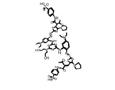 CCN(CC)c1ccc(/N=N/c2nc(N3CCCCC3)c(/C=C(\C(C)=O)C(=O)Nc3ccc(S(=O)(=O)O)cc3)s2)c(Nc2nc(Nc3cc(N(CC)CC)ccc3/N=N/c3nc(N4CCCCC4)c(C(C(C)=O)C(=O)Nc4ccc(S(=O)(=O)O)cc4)s3)nc(N(CCO)CCO)n2)c1